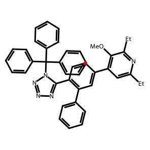 CCc1cc(-c2ccc(-c3nnnn3C(c3ccccc3)(c3ccccc3)c3ccccc3)c(-c3ccccc3)c2)c(OC)c(CC)n1